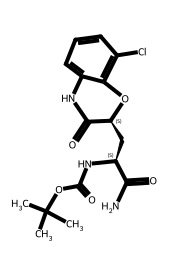 CC(C)(C)OC(=O)N[C@@H](C[C@@H]1Oc2c(Cl)cccc2NC1=O)C(N)=O